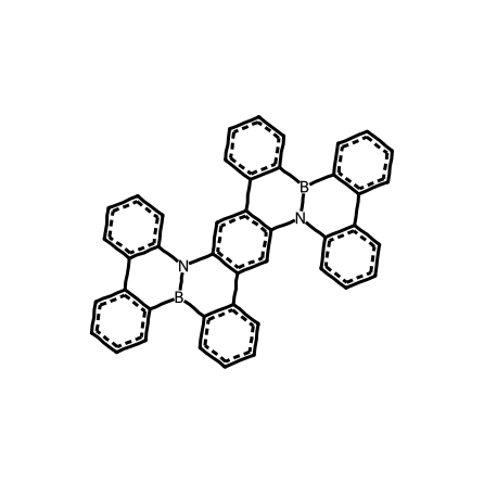 c1ccc2c(c1)B1c3ccccc3-c3cc4c(cc3N1c1ccccc1-2)-c1ccccc1B1c2ccccc2-c2ccccc2N14